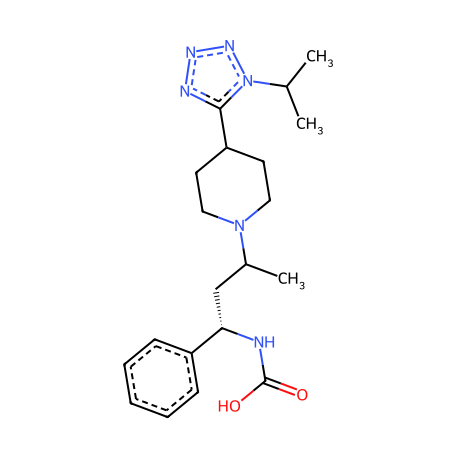 CC(C[C@H](NC(=O)O)c1ccccc1)N1CCC(c2nnnn2C(C)C)CC1